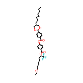 CCCCCCCCC1COC(c2ccc(C(=O)Oc3ccc(C(=O)OC(CCCCCCOCC)C(F)(F)F)cc3)cc2)OC1